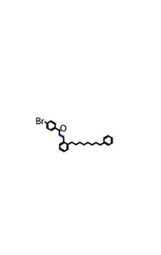 O=C(/C=C/c1ccccc1CCCCCCCCc1ccccc1)c1ccc(Br)cc1